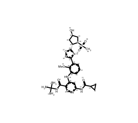 BC(B)(B)NC(=O)c1nnc(NC(=O)C2CC2)cc1Nc1cccc(-c2noc([C@@H]3C[C@@H](O)CN3S(C)(=O)=O)n2)c1OC